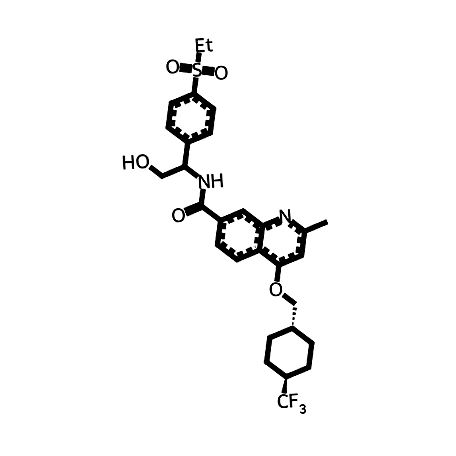 CCS(=O)(=O)c1ccc(C(CO)NC(=O)c2ccc3c(OC[C@H]4CC[C@H](C(F)(F)F)CC4)cc(C)nc3c2)cc1